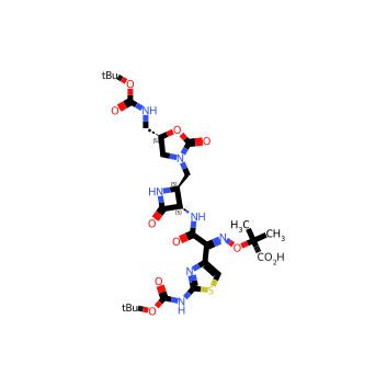 CC(C)(C)OC(=O)NC[C@H]1CN(C[C@@H]2NC(=O)[C@H]2NC(=O)C(=NOC(C)(C)C(=O)O)c2csc(NC(=O)OC(C)(C)C)n2)C(=O)O1